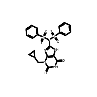 O=c1[nH]c(=O)n(CC2CC2)c2nc(N(S(=O)(=O)c3ccccc3)S(=O)(=O)c3ccccc3)[nH]c12